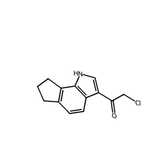 O=C(CCl)c1c[nH]c2c3c(ccc12)CCC3